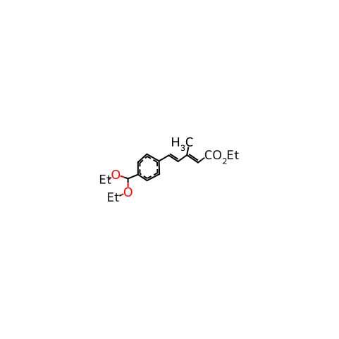 CCOC(=O)/C=C(C)/C=C/c1ccc(C(OCC)OCC)cc1